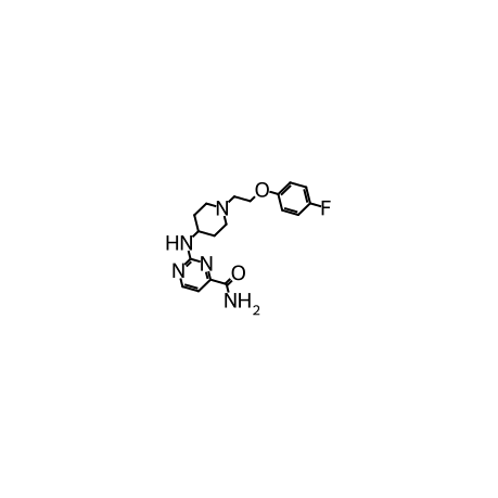 NC(=O)c1ccnc(NC2CCN(CCOc3ccc(F)cc3)CC2)n1